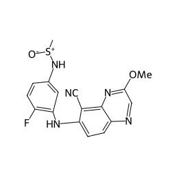 COc1cnc2ccc(Nc3cc(N[S+](C)[O-])ccc3F)c(C#N)c2n1